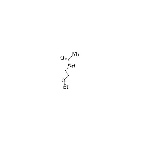 CCOCCNC([NH])=O